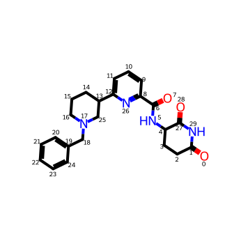 O=C1CCC(NC(=O)c2cccc(C3CCCN(Cc4ccccc4)C3)n2)C(=O)N1